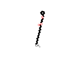 CCCCCCCCCCCCCCCC(=O)OCC=CCOCc1ccccc1